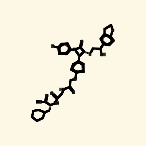 O=C(COc1ccc([C@@H]2[C@@H](SCC(O)c3ccc4c(c3)CCO4)C(=O)N2c2ccc(F)cc2)cc1)NCC(=O)N[C@H](CC1CCCCC1)C(=O)O